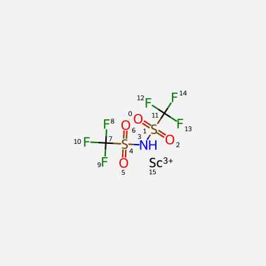 O=S(=O)(NS(=O)(=O)C(F)(F)F)C(F)(F)F.[Sc+3]